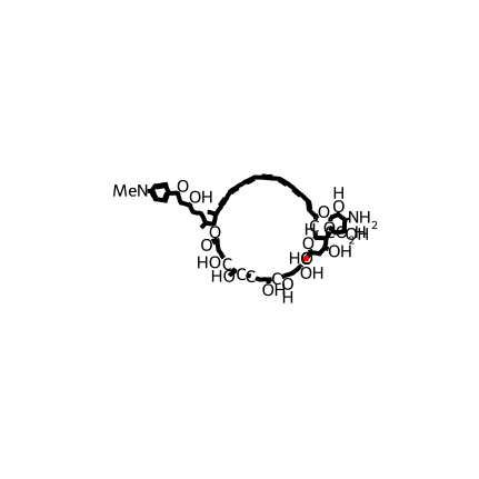 CNc1ccc(C(=O)CC(O)CCC(C)C2OC(=O)CC(O)CC(O)CCCC(O)CC(O)CC(O)CC3(O)CC(O)C(C(=O)O)[C@H](CC(OC4OC[C@@H](O)[C@H](N)[C@@H]4O)/C=C/C=C/C=C/C=C\C=C/C=C/C=C/C2C)O3)cc1